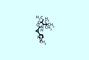 CCC(=O)[C@@H](NC(=O)C1CC1c1ccn(C)n1)C(C)(C)C